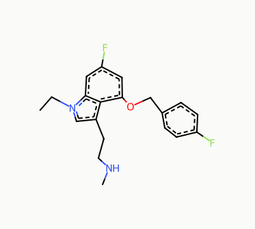 CCn1cc(CCNC)c2c(OCc3ccc(F)cc3)cc(F)cc21